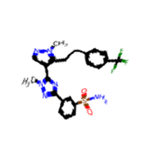 Cn1nc(-c2cccc(S(N)(=O)=O)c2)nc1-c1cnn(C)c1CCc1ccc(C(F)(F)F)cc1